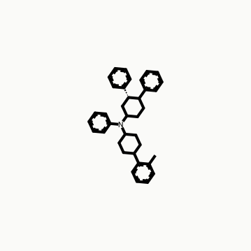 Cc1ccccc1C1CCC(N(c2ccccc2)C2CCC(c3ccccc3)[C@@H](c3ccccc3)C2)CC1